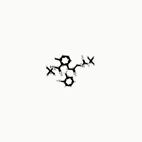 Cc1cccc([C@@H](Cc2ccccc2F)C(=O)CNC(=O)OC(C)(C)C)c1C(=O)NC(C)(C)C